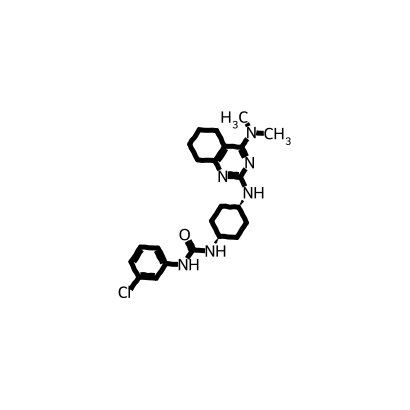 CN(C)c1nc(N[C@H]2CC[C@@H](NC(=O)Nc3cccc(Cl)c3)CC2)nc2c1CCCC2